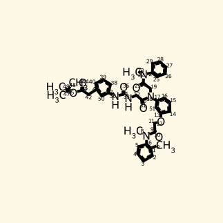 Cc1ccccc1N(C)C(=O)COc1cccc(N(CC(=O)N(C)c2ccccc2)C(=O)CNC(=O)Nc2cccc(CC(=O)OC(C)(C)C)c2)c1